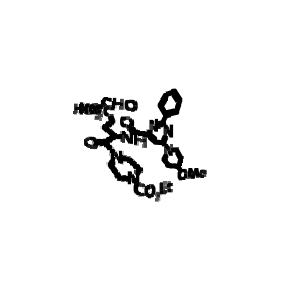 CCOC(=O)N1CCN(C(=O)C(CCC(=O)O)NC(=O)c2cc(N3CCC(OC)CC3)nc(-c3ccccc3)n2)CC1.O=CO